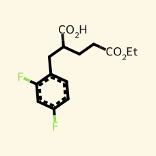 CCOC(=O)CCC(Cc1ccc(F)cc1F)C(=O)O